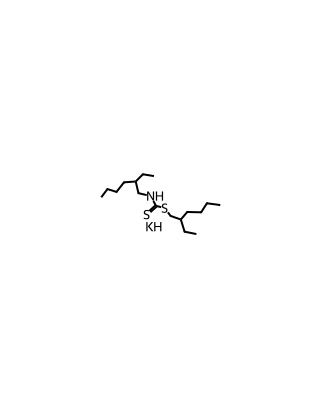 CCCCC(CC)CNC(=S)SCC(CC)CCCC.[KH]